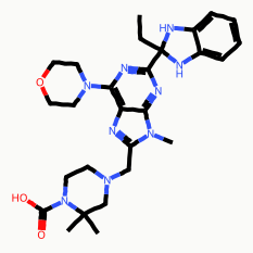 CCC1(c2nc(N3CCOCC3)c3nc(CN4CCN(C(=O)O)C(C)(C)C4)n(C)c3n2)Nc2ccccc2N1